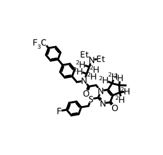 [2H]C1([2H])c2c(n(CC(=O)N(Cc3ccc(-c4ccc(C(F)(F)F)cc4)cc3)C([2H])([2H])C([2H])([2H])N(CC)CC)c(SCc3ccc(F)cc3)nc2=O)C([2H])([2H])C1([2H])C